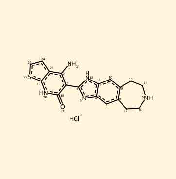 Cl.Nc1c(-c2nc3cc4c(cc3[nH]2)CCNCC4)c(=O)[nH]c2sccc12